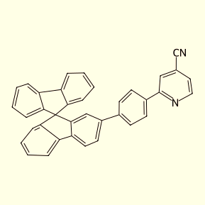 N#Cc1ccnc(-c2ccc(-c3ccc4c(c3)C3(c5ccccc5-c5ccccc53)c3ccccc3-4)cc2)c1